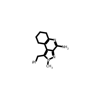 CC(C)Cc1c2c3c(nc(N)c2nn1C)CCCC3